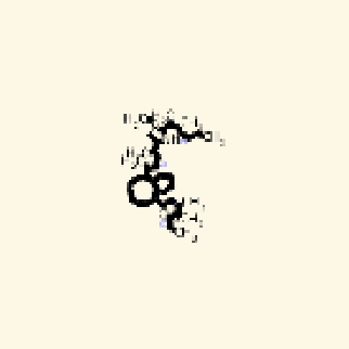 C=C/C=C\C(=C)C(=C)C1NC(C(=C)/C=C\C(=C)c2ccccccc(C(=C)/C=C(/C)C(=C)/C=C\C)c3ccccc23)CN1C=C